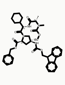 C[C@@H](C(=O)N[C@H](C(=O)N1C[C@@H](NC(=O)OCC2c3ccccc3-c3ccccc32)C[C@H]1C(=O)OCc1ccccc1)C1CCCCC1)N(C)C(=O)OC(C)(C)C